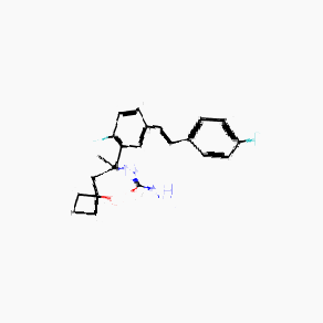 CC1(c2cc(C=Cc3ccc(F)cc3)ccc2F)CC2(CCC2)OC(N)=N1